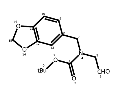 CC(C)(C)OC(=O)N(CC=O)Cc1ccc2c(c1)OCO2